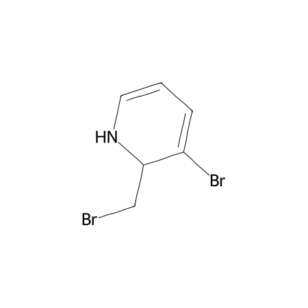 BrCC1NC=CC=C1Br